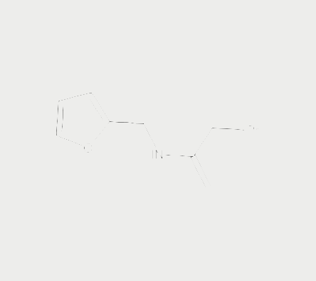 C=C(CC(C)C)NCc1ccco1